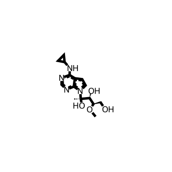 CO[C@H](CO)[C@@H](O)[C@@](C)(O)n1ccc2c(NC3CC3)ncnc21